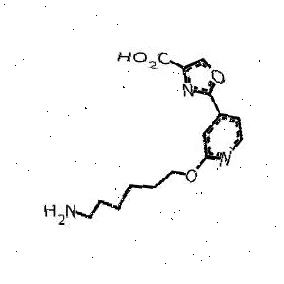 NCCCCCCOc1cc(-c2nc(C(=O)O)co2)ccn1